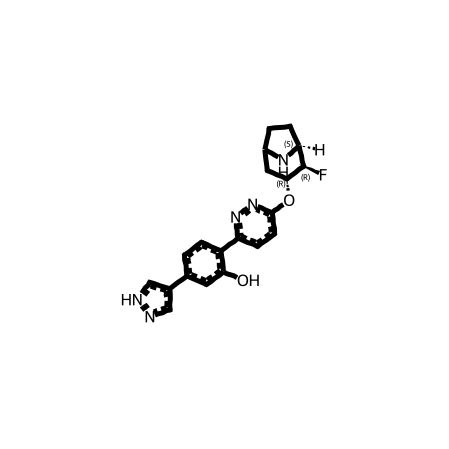 Oc1cc(-c2cn[nH]c2)ccc1-c1ccc(O[C@@H]2CC3CC[C@H](N3)[C@H]2F)nn1